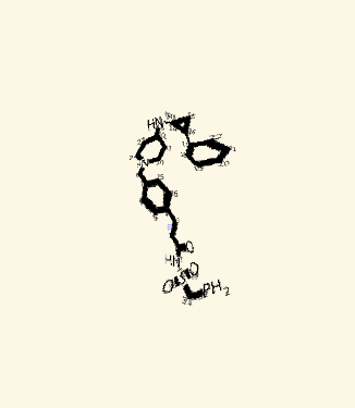 O=C(/C=C/c1ccc(CN2CCC(N[C@@H]3C[C@H]3c3ccccc3)CC2)cc1)NS(=O)(=O)CP